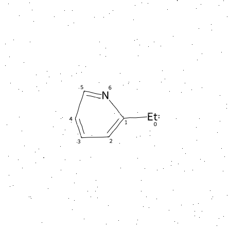 C[C]c1ccccn1